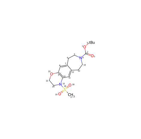 CC(C)(C)OC(=O)N1CCc2cc3c(cc2CC1)N(S(C)(=O)=O)CCO3